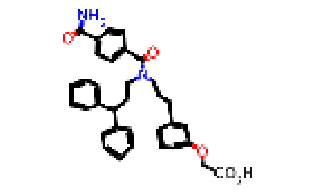 NC(=O)c1ccc(C(=O)N(CCCc2cccc(OCC(=O)O)c2)CCC(c2ccccc2)c2ccccc2)cc1